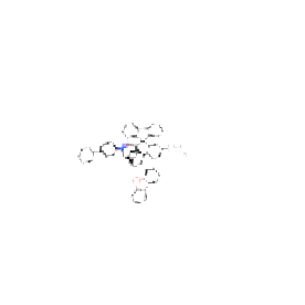 Cc1ccc2c(c1)C1(c3cc(C(F)(F)F)ccc3-2)c2ccccc2-c2cccc(N(c3ccc(-c4ccccc4)cc3)c3ccc(-c4cccc5c4oc4ccccc45)cc3)c21